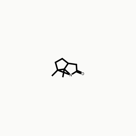 CC12CCC3CC(=O)N1C32C